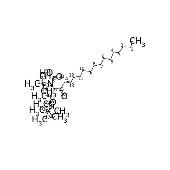 CCCCCCCCCCCCC/C=C/C(=O)[C@H]([C@H](C)O[Si](C)(C)C(C)(C)C)N(C(=O)O)C(C)(C)C